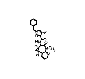 CN1C(=O)[C@H](NC(=O)c2nn(Cc3ccccc3)cc2F)[C@@H]2C[C@@H]2C2C=CC=NC21